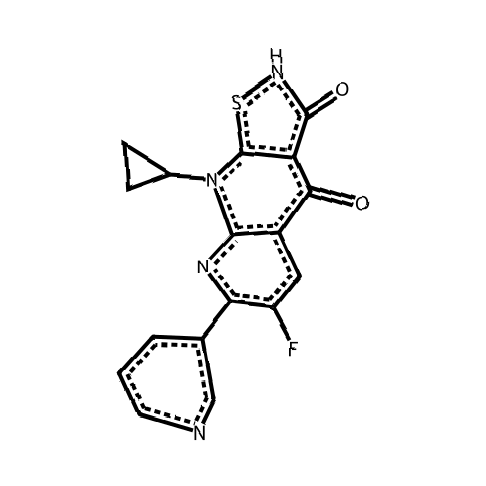 O=c1[nH]sc2c1c(=O)c1cc(F)c(-c3cccnc3)nc1n2C1CC1